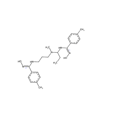 CCC(N/C(=N\O)c1ccc(C)cc1)N(C)CCCN/C(=N\O)c1ccc(C)cc1